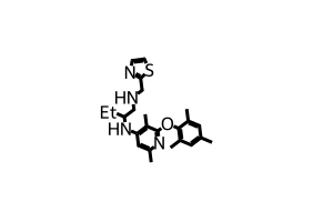 CCC(CNCc1nccs1)Nc1cc(C)nc(Oc2c(C)cc(C)cc2C)c1C